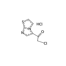 Cl.O=C(CCl)c1cnc2sccn12